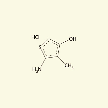 Cc1c(O)csc1N.Cl